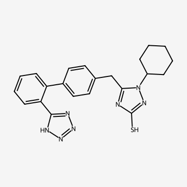 Sc1nc(Cc2ccc(-c3ccccc3-c3nnn[nH]3)cc2)n(C2CCCCC2)n1